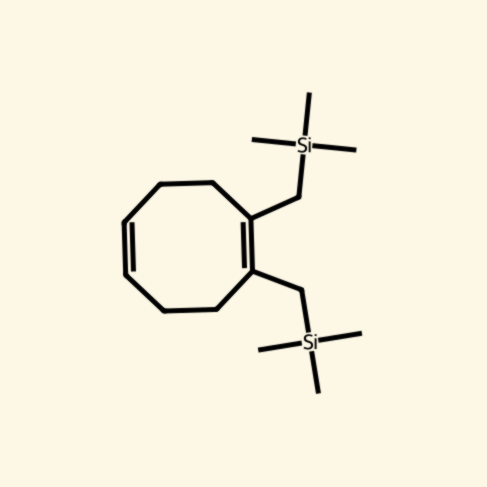 C[Si](C)(C)CC1=C(C[Si](C)(C)C)CCC=CCC1